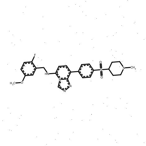 COc1ccc(F)c(CNc2ccc(-c3ccc(S(=O)(=O)C4CCN(C)CC4)cc3)c3nncn23)c1